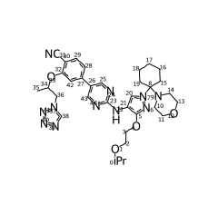 CC(C)OCCOc1nn(C2(N3CCOCC3)CCCCC2)cc1Nc1ncc(-c2ccc(C#N)c(OC(C)Cn3cnnn3)c2)cn1